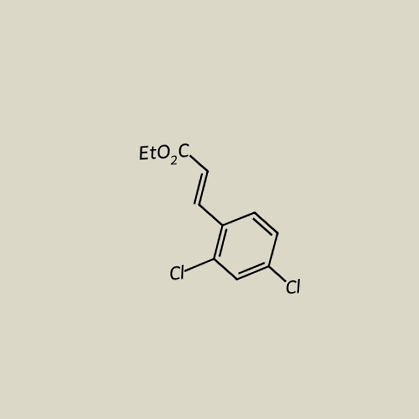 CCOC(=O)C=Cc1ccc(Cl)cc1Cl